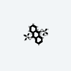 C[Si](C)(C)Oc1c2ccccc2c(O[Si](C)(C)C)c2ccccc12